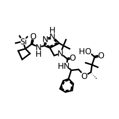 C[C@H](OCC(NC(=O)N1Cc2c(NC(=O)C3([Si](C)(C)C)CCC3)n[nH]c2C1(C)C)c1ccccc1)C(C)(C)C(=O)O